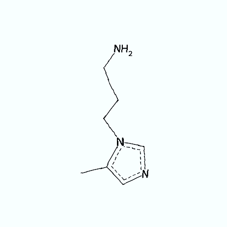 Cc1cncn1CCCN